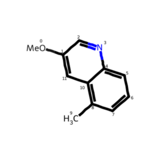 COc1cnc2cccc(C)c2c1